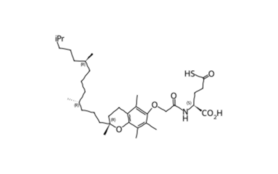 Cc1c(C)c2c(c(C)c1OCC(=O)N[C@@H](CCC(=O)S)C(=O)O)CC[C@@](C)(CCC[C@H](C)CCC[C@H](C)CCCC(C)C)O2